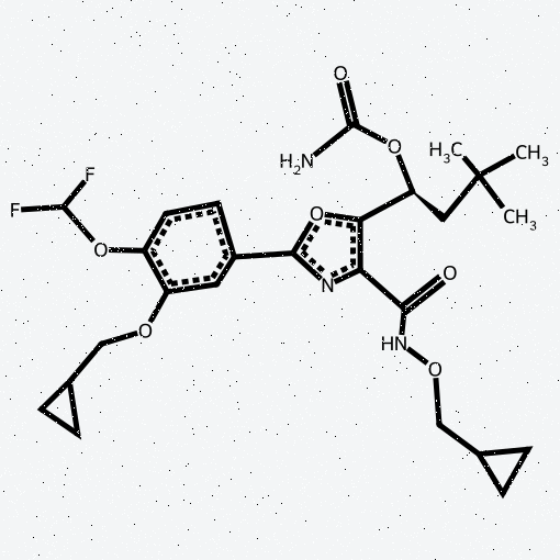 CC(C)(C)C[C@H](OC(N)=O)c1oc(-c2ccc(OC(F)F)c(OCC3CC3)c2)nc1C(=O)NOCC1CC1